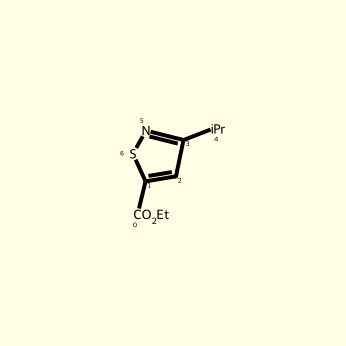 CCOC(=O)c1cc(C(C)C)ns1